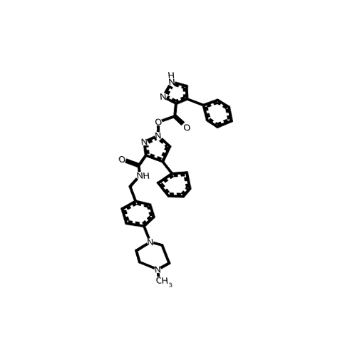 CN1CCN(c2ccc(CNC(=O)c3nn(OC(=O)c4n[nH]cc4-c4ccccc4)cc3-c3ccccc3)cc2)CC1